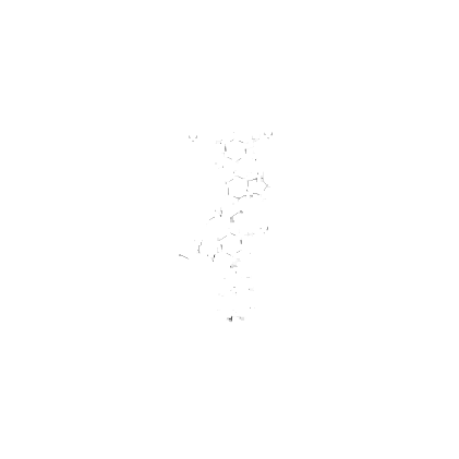 C=CC(=O)Nc1cc(/C(=C/c2c(C)cc(-c3c(Cl)c(OC)cc(OC)c3Cl)c3nccn23)N=C)c(OC)cc1N1CC2(CCS(=O)(=O)CC2)C1